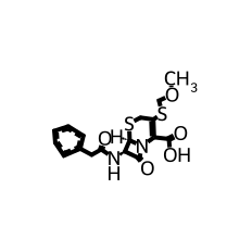 COCSC1=C(C(=O)O)N2C(=O)[C@@H](NC(=O)Cc3ccccc3)[C@H]2SC1